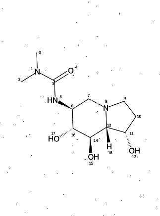 CN(C)C(=O)N[C@H]1CN2CC[C@H](O)[C@@H]2[C@@H](O)[C@@H]1O